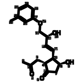 CC(=O)C[C@H]1C(=O)C[C@@H](O)[C@@H]1/C=C/[C@@H](O)COc1cccc(C)c1